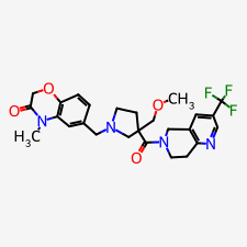 COCC1(C(=O)N2CCc3ncc(C(F)(F)F)cc3C2)CCN(Cc2ccc3c(c2)N(C)C(=O)CO3)C1